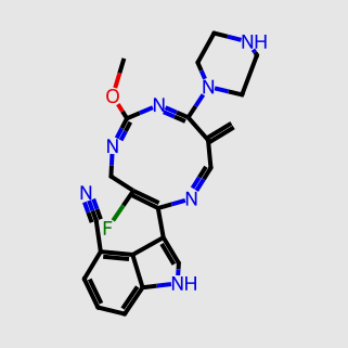 C=C1/C=N\C(c2c[nH]c3cccc(C#N)c23)=C(\F)C/N=C(OC)\N=C/1N1CCNCC1